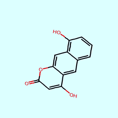 O=c1cc(O)c2cc3cccc(O)c3cc2o1